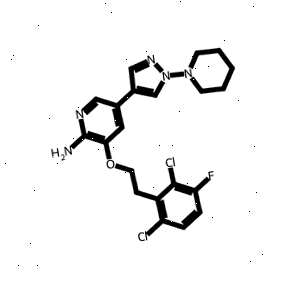 Nc1ncc(-c2cnn(N3CCCCC3)c2)cc1OCCc1c(Cl)ccc(F)c1Cl